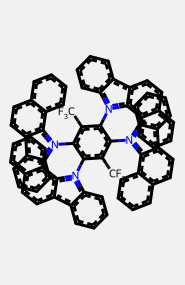 FC(F)(F)c1c(-n2c3ccccc3c3ccc4ccccc4c32)c(-n2c3ccccc3c3ccc4ccccc4c32)c(C(F)(F)F)c(-n2c3ccccc3c3ccc4ccccc4c32)c1-n1c2ccccc2c2ccc3ccccc3c21